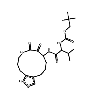 CC(C)C(NC(=O)OCC(C)(C)C)C(=O)NC1CCCc2cn[nH]c2CCCNC(=O)C1=O